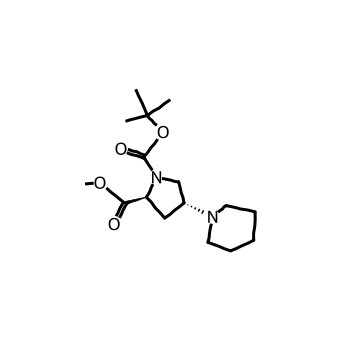 COC(=O)[C@@H]1C[C@@H](N2CCCCC2)CN1C(=O)OC(C)(C)C